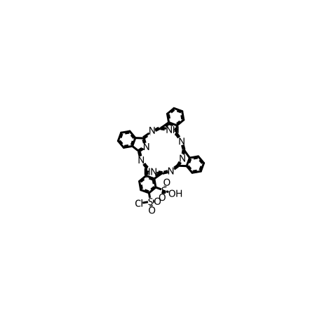 O=S(=O)(O)c1c(S(=O)(=O)Cl)ccc2c3nc4nc(nc5[nH]c(nc6nc(nc([nH]3)c12)-c1ccccc1-6)c1ccccc51)-c1ccccc1-4